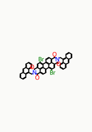 O=C1c2ccc3c4c(Br)cc5c6c(ccc(c7c(Br)cc(c2c37)C(=O)N1Cc1c2ccccc2cc2ccccc12)c64)C(=O)N(Cc1c2ccccc2cc2ccccc12)C5=O